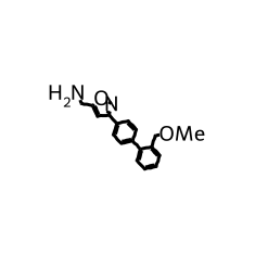 COCc1ccccc1-c1ccc(-c2cc(CN)on2)cc1